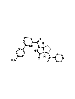 CC(C)C[C@H](NC(=O)c1ccc(N)cc1)C(=O)N1NC(=O)[C@H]2[C@@H]1CCN2C(=O)c1ccccc1